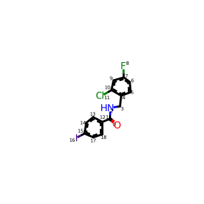 O=C(NCc1ccc(F)cc1Cl)c1ccc(I)cc1